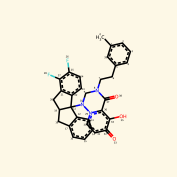 Cc1cccc(CCN2CN(C34c5ccccc5CC3Cc3c4ccc(F)c3F)n3ccc(=O)c(O)c3C2=O)c1